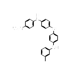 CNc1ccc(Nc2ccc(Nc3ccc(Nc4cccc(C)c4)cc3)cc2)cc1